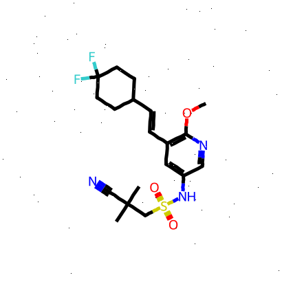 COc1ncc(NS(=O)(=O)CC(C)(C)C#N)cc1C=CC1CCC(F)(F)CC1